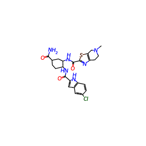 CN1CCc2nc(C(=O)NC3CC(C(N)=O)CCC3NC(=O)c3cc4cc(Cl)ccc4[nH]3)sc2C1